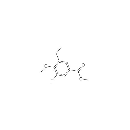 CCc1cc(C(=O)OC)cc(F)c1OC